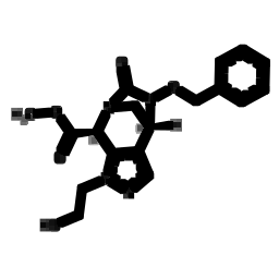 COC(=O)[C@@H]1c2c(cnn2CCO)[C@@H]2CN1C(=O)N2OCc1ccccc1